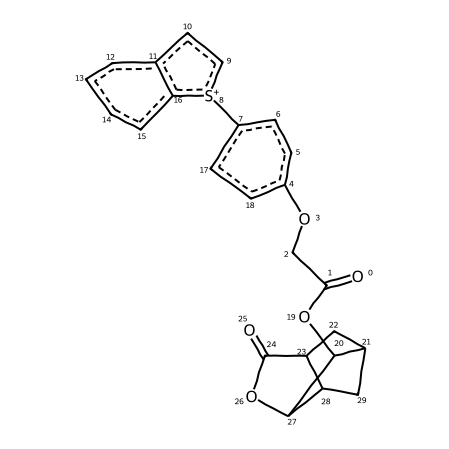 O=C(COc1ccc(-[s+]2ccc3ccccc32)cc1)OC1C2CC3C(=O)OC1C3C2